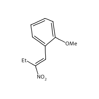 CC/C(=C\c1ccccc1OC)[N+](=O)[O-]